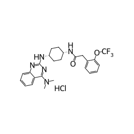 CN(C)c1nc(N[C@H]2CC[C@@H](NC(=O)Cc3ccccc3OC(F)(F)F)CC2)nc2ccccc12.Cl